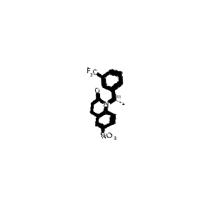 C[C@@H](c1cccc(C(F)(F)F)c1)N1C(=O)CCc2cc([N+](=O)[O-])ccc21